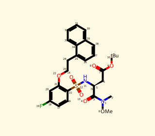 CON(C)C(=O)[C@H](CC(=O)OC(C)(C)C)NS(=O)(=O)c1ccc(F)cc1OCCc1cccc2ccccc12